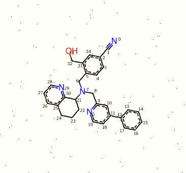 N#Cc1ccc(CN(Cc2cc(-c3ccccc3)ccn2)C2CCCc3cccnc32)c(CO)c1